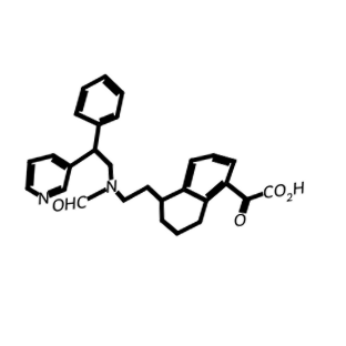 O=CN(CCC1CCCc2c(C(=O)C(=O)O)cccc21)CC(c1ccccc1)c1cccnc1